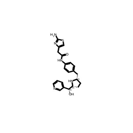 Nc1nc(CC(=O)Nc2ccc(C[C@@H]3CC[C@H]([C@H](O)c4cccnc4)N3)cc2)cs1